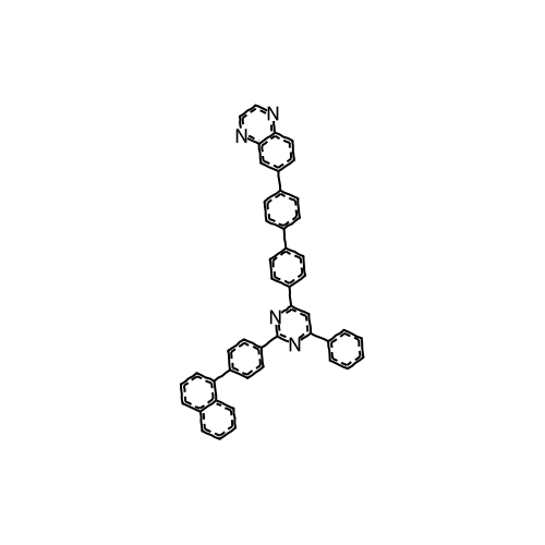 c1ccc(-c2cc(-c3ccc(-c4ccc(-c5ccc6nccnc6c5)cc4)cc3)nc(-c3ccc(-c4cccc5ccccc45)cc3)n2)cc1